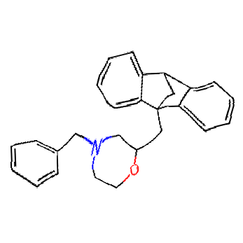 c1ccc(CN2CCOC(CC34CC(c5ccccc53)c3ccccc34)C2)cc1